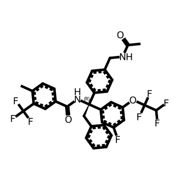 CC(=O)NCc1ccc([C@@](Cc2ccccc2)(NC(=O)c2ccc(C)c(C(F)(F)F)c2)c2cc(F)cc(OC(F)(F)C(F)F)c2)cc1